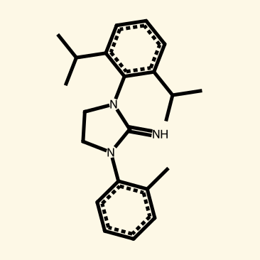 Cc1ccccc1N1CCN(c2c(C(C)C)cccc2C(C)C)C1=N